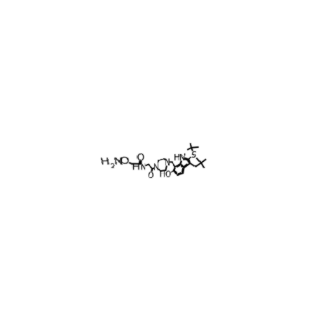 CC(C)(C)Cc1c(SC(C)(C)C)[nH]c2c(CN3CCN(C(=O)CNC(=O)CON)CC3)c(O)ccc12